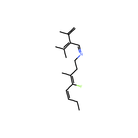 C=C(C)C(/C=N\CC/C(C)=C(F)/C=C\CC)=C(C)C